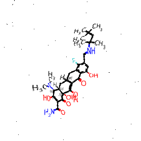 CN(C)[C@@H]1C(O)=C(C(N)=O)C(=O)[C@@]2(O)C(O)=C3C(=O)c4c(O)cc(CNC(C)(C)CC(C)(C)C)c(F)c4C[C@H]3C[C@@H]12